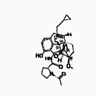 CO[C@]12CC[C@@]3(C[C@@H]1CNC(=O)C1CCCN1C(C)=O)[C@H]1Cc4ccc(O)c5c4[C@@]3(CCN1CC1CC1)[C@H]2O5